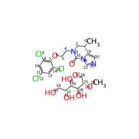 CCCN(CCOc1c(Cl)cc(Cl)cc1Cl)C(=O)n1ccnc1.CO[C@@H](C=O)[C@@H](O)[C@H](O)[C@H](O)CO